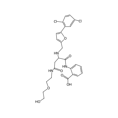 O=C(CC(NCc1ccc(-c2cc(Cl)ccc2Cl)o1)C(=O)Nc1ccccc1C(=O)O)NCCOCCO